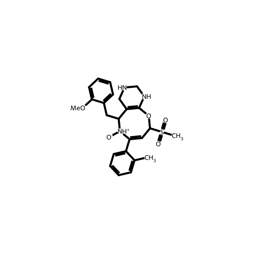 COc1ccccc1CC1C2=C(NCNC2)OC(S(C)(=O)=O)/C=C(/c2ccccc2C)[NH+]1[O-]